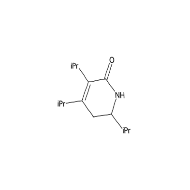 CC(C)C1=C(C(C)C)C(=O)NC(C(C)C)C1